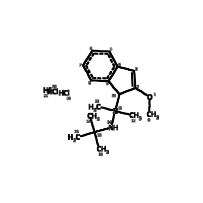 COC1=Cc2ccccc2C1[Si](C)(C)NC(C)(C)C.Cl.Cl.[Hf]